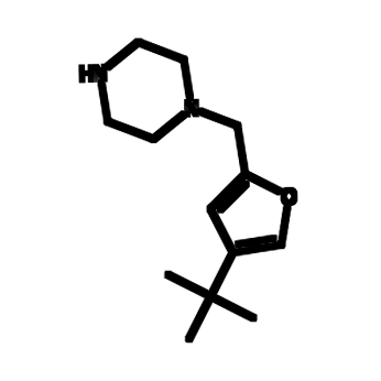 CC(C)(C)c1coc(CN2CCNCC2)c1